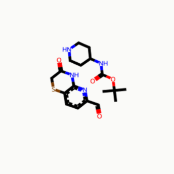 CC(C)(C)OC(=O)NC1CCNCC1.O=Cc1ccc2c(n1)NC(=O)CS2